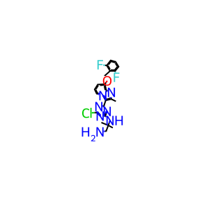 Cc1nc2c(OCc3c(F)cccc3F)cccn2c1-c1nc(Cl)nc(NC(C)(C)CN)n1